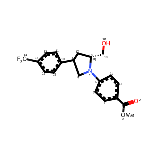 COC(=O)c1ccc(N2CC(c3ccc(C(F)(F)F)cc3)C[C@@H]2CO)cc1